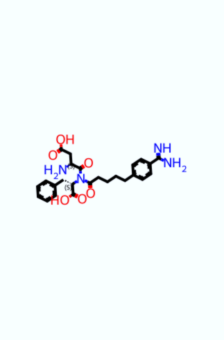 N=C(N)c1ccc(CCCCC(=O)N(C(=O)[C@@H](N)CC(=O)O)[C@@H](Cc2ccccc2)C(=O)O)cc1